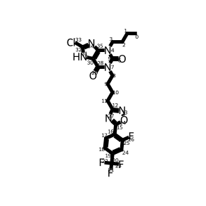 CCCCn1c(=O)n(CCCCc2noc(-c3ccc(C(F)(F)F)cc3F)n2)c(=O)c2[nH]c(Cl)nc21